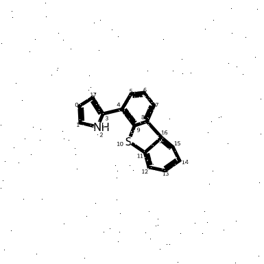 c1c[nH]c(-c2cccc3c2sc2ccccc23)c1